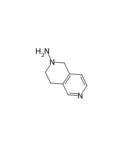 NN1CCc2cnccc2C1